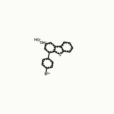 [B+2]c1ccc(-c2cccc3c2sc2ccccc23)cc1.[OH-].[OH-]